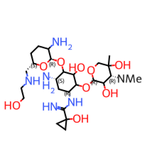 CN[C@@H]1C(O)[C@@H](OC2C(O)C(O[C@H]3O[C@H](CNCCO)CCC3N)[C@@H](N)C[C@H]2NC(=N)C2(O)CC2)OCC1(C)O